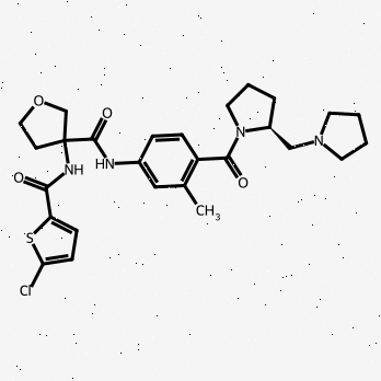 Cc1cc(NC(=O)C2(NC(=O)c3ccc(Cl)s3)CCOC2)ccc1C(=O)N1CCC[C@H]1CN1CCCC1